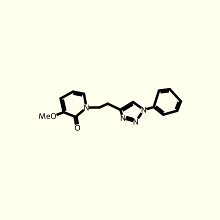 COc1cccn(CCc2cn(-c3ccccc3)nn2)c1=O